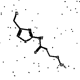 COCCC(=O)Nc1nc(CCl)cs1